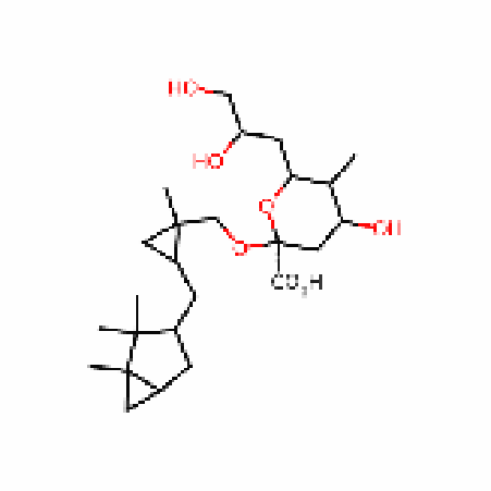 CC1C(O)CC(OCC2(C)CC2CC2CC3CC3(C)C2(C)C)(C(=O)O)OC1CC(O)CO